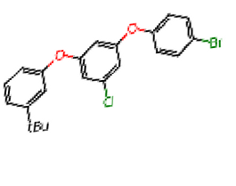 CC(C)(C)c1cccc(Oc2cc(Cl)cc(Oc3ccc(Br)cc3)c2)c1